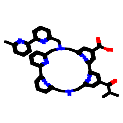 Cc1cccc(-c2cccc(CN3Cc4cccc(n4)-c4cccc(n4)CNCc4cc(C(=O)C(C)C)cc(n4)-c4cc(C(=O)O)cc(n4)C3)n2)n1